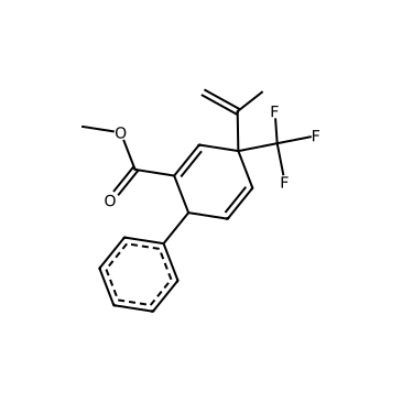 C=C(C)C1(C(F)(F)F)C=CC(c2ccccc2)C(C(=O)OC)=C1